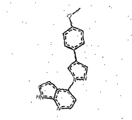 COc1ccc(-c2cnn(-c3ccnc4[nH]ccc34)c2)cc1